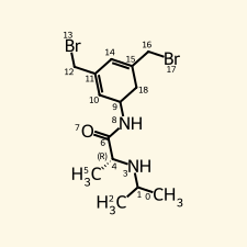 CC(C)N[C@H](C)C(=O)NC1C=C(CBr)C=C(CBr)C1